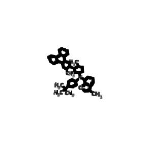 Cc1ccc(N(c2ccc(C(C)(C)C)cc2)c2cccc3c(C)coc23)cc1-c1cc2c3ccccc3c3ccccc3c2cc1C